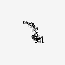 CC(C)(C)c1ccc(OCC(=S)NCc2cc(F)c(NS(C)(=O)=O)c(C#N)c2)cc1